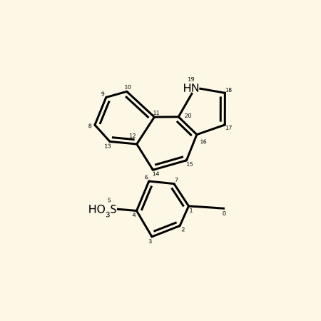 Cc1ccc(S(=O)(=O)O)cc1.c1ccc2c(c1)ccc1cc[nH]c12